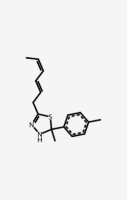 C/C=C\C=C\CC1=NNC(C)(c2ccc(C)cc2)S1